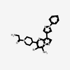 NCC(=O)N1CCC(c2nc3c(-c4cnn(-c5ccccc5)c4)cnn3c(N)c2Br)CC1